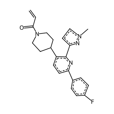 C=CC(=O)N1CCC(c2ccc(-c3ccc(F)cc3)nc2-c2ccn(C)n2)CC1